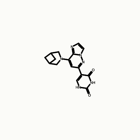 O=c1[nH]cc(-c2cc(N3CC4CC(C4)C3)c3nccn3n2)c(=O)[nH]1